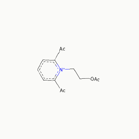 CC(=O)OCC[n+]1c(C(C)=O)cccc1C(C)=O